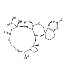 CN1C/C=C/[C@H](O)[C@@H]2CC[C@H]2CN2C[C@@]3(CCCc4cc(Cl)ccc43)COc3ccc(cc32)[C@@](O)(C(=O)O)CC1=O